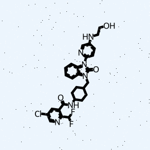 O=C(NC1CCC(Cn2c(=O)n(-c3ccc(NCCO)cn3)c3ccccc32)CC1)c1cc(Cl)cnc1C(F)F